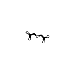 [O]C(=O)COCC([O])=O